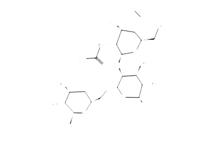 CC(=O)N[C@H]1[C@H](O[C@@H]2[C@@H](OC[C@@H]3C[C@H](O)[C@@H](O)[C@H](O)O3)O[C@H](C)[C@@H](O)[C@@H]2O)O[C@H](CO)[C@@H](OF)[C@@H]1O